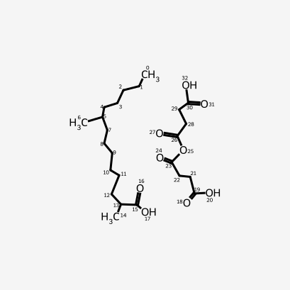 CCCCCC(C)CCCCCCC(C)C(=O)O.O=C(O)CCC(=O)OC(=O)CCC(=O)O